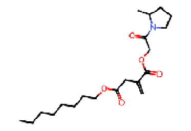 C=C(CC(=O)OCCCCCCCC)C(=O)OCC(=O)N1CCCC1C